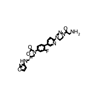 NCC(=O)N1CCN(c2ccc(-c3ccc(N4C[C@H](CNc5ccon5)OC4=O)cc3F)cn2)C=N1